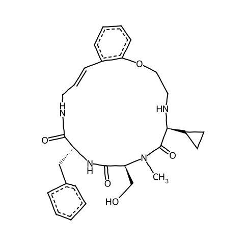 CN1C(=O)[C@H](C2CC2)NCCOc2ccccc2/C=C/CNC(=O)[C@@H](Cc2ccccc2)NC(=O)[C@@H]1CO